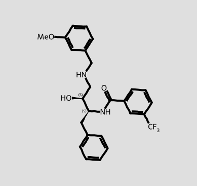 COc1cccc(CNC[C@H](O)[C@H](Cc2ccccc2)NC(=O)c2cccc(C(F)(F)F)c2)c1